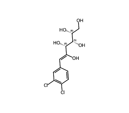 OC[C@@H](O)[C@H](O)[C@@H](O)C(O)=Cc1ccc(Cl)c(Cl)c1